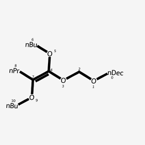 CCCCCCCCCCOCOC(OCCCC)=C(CCC)OCCCC